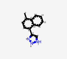 Cc1ccc(-c2c[nH]nn2)c2ccccc12